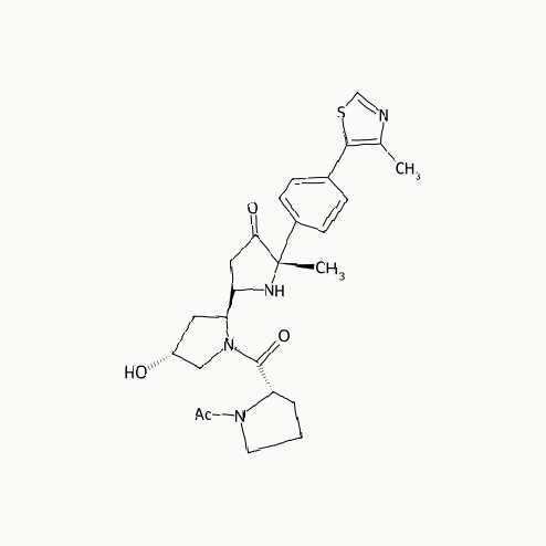 CC(=O)N1CCC[C@H]1C(=O)N1C[C@H](O)C[C@H]1C1CC(=O)[C@](C)(c2ccc(-c3scnc3C)cc2)N1